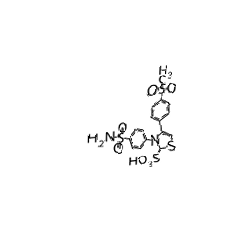 CS(=O)(=O)c1ccc(C2=CSC(S(=O)(=O)O)N2c2ccc(S(N)(=O)=O)cc2)cc1